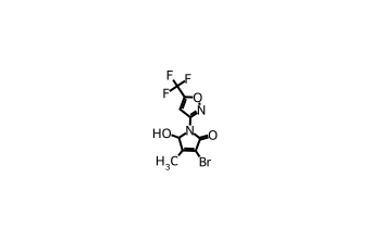 CC1=C(Br)C(=O)N(c2cc(C(F)(F)F)on2)C1O